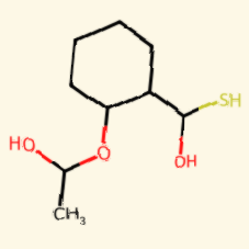 CC(O)OC1CCCCC1C(O)S